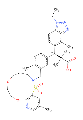 CCn1nnc2c(C)c([C@H](c3ccc(C)c(CN4CCCOCCOc5ncc(C)cc5S4(=O)=O)c3)C(C)(C)C(=O)O)ccc21